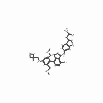 COCc1cc(OCC2(C)COC2)cc(COC)c1-c1ccc(F)c2c1CC[C@H]2Oc1ccc2c(c1)OCC2CC(=O)O